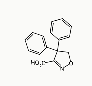 O=C(O)C1=NOCC1(c1ccccc1)c1ccccc1